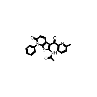 CC(=O)Nc1sc2c(ccc(=O)n2-c2ccccc2)c1C(=O)c1cccc(C)n1